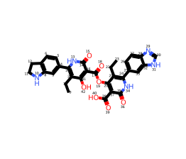 CCc1c(-c2ccc3c(c2)NCC3)[nH]c(=O)c(C(=O)Oc2c(CC)c(-c3ccc4nc[nH]c4c3)[nH]c(=O)c2C(=O)O)c1O